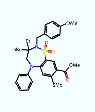 CCCCC1(CC)CN(c2ccccc2)c2cc(SC)c(C(=O)OC)cc2S(=O)(=O)N1Cc1ccc(OC)cc1